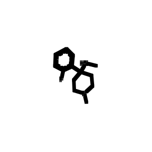 CNC1(c2ccccc2F)CCN(C)CC1